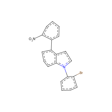 O=[N+]([O-])c1ccccc1-c1cccc2c1ccn2-c1ccccc1Br